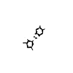 Cc1cc(C)c(O)c(-n2nc3cc(Cl)c(Cl)cc3n2)c1